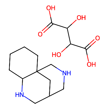 C1CCC23CNCC(CNC2C1)C3.O=C(O)C(O)C(O)C(=O)O